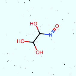 O=NC(O)C(O)O